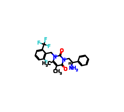 Cc1c(C)n(Cc2c(F)cccc2C(F)(F)F)c(=O)n(C[C@H](N)c2ccccc2)c1=O